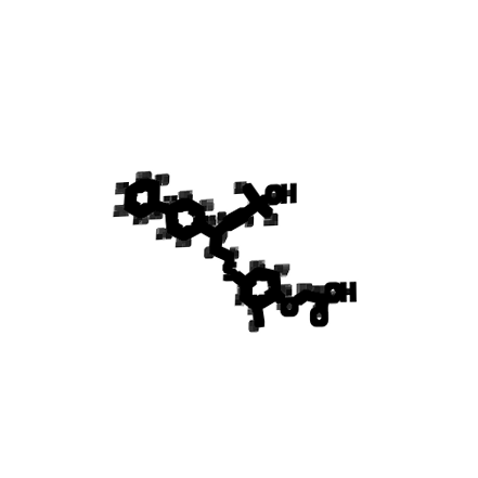 Cc1cc(SCC=C(C#CC(C)(C)O)c2ccc(-c3ccccc3)cc2)ccc1OCC(=O)O